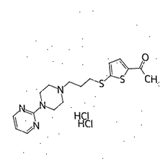 CC(=O)c1ccc(SCCCN2CCN(c3ncccn3)CC2)s1.Cl.Cl